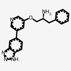 N[C@H](COc1cncc(-c2ccc3[nH]nnc3c2)c1)Cc1ccccc1